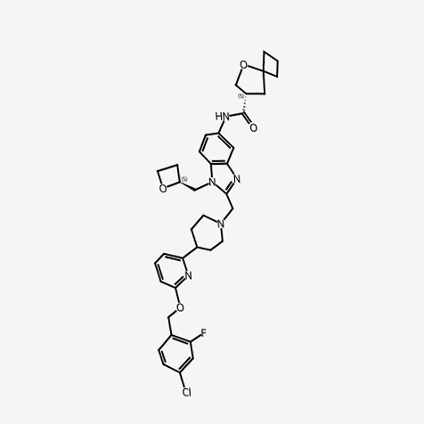 O=C(Nc1ccc2c(c1)nc(CN1CCC(c3cccc(OCc4ccc(Cl)cc4F)n3)CC1)n2C[C@@H]1CCO1)[C@@H]1COC2(CCC2)C1